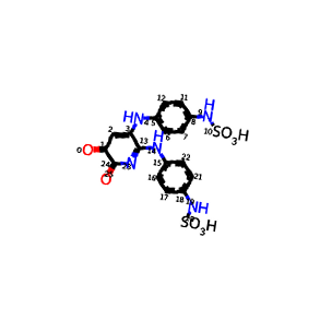 O=C1C=C(Nc2ccc(NS(=O)(=O)O)cc2)C(Nc2ccc(NS(=O)(=O)O)cc2)=NC1=O